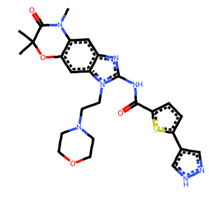 CN1C(=O)C(C)(C)Oc2cc3c(cc21)nc(NC(=O)c1ccc(-c2cn[nH]c2)s1)n3CCN1CCOCC1